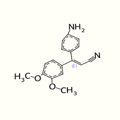 COc1ccc(/C(=C/C#N)c2ccc(N)cc2)cc1OC